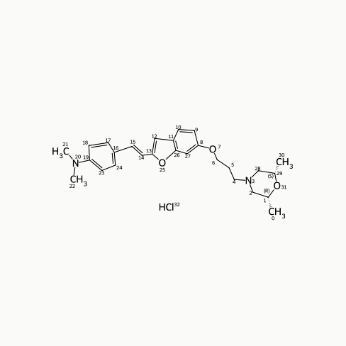 C[C@@H]1CN(CCCOc2ccc3cc(C=Cc4ccc(N(C)C)cc4)oc3c2)C[C@H](C)O1.Cl